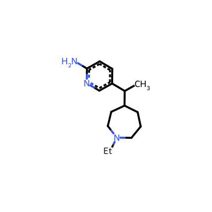 CCN1CCCC(C(C)c2ccc(N)nc2)CC1